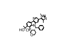 Cc1nnn(C)c1-c1cnc2c3ccc([C@](C)(O)C(F)(F)F)c(F)c3n([C@H](c3ccccc3)C3CCOCC3)c2c1